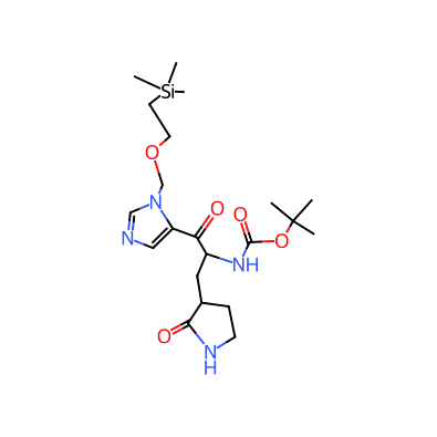 CC(C)(C)OC(=O)NC(CC1CCNC1=O)C(=O)c1cncn1COCC[Si](C)(C)C